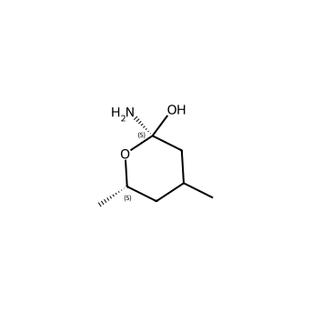 CC1C[C@H](C)O[C@@](N)(O)C1